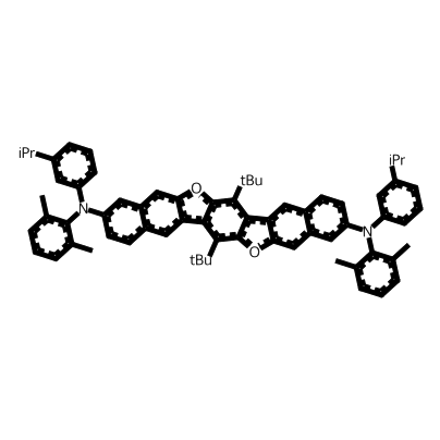 Cc1cccc(C)c1N(c1cccc(C(C)C)c1)c1ccc2cc3c(cc2c1)oc1c(C(C)(C)C)c2c(oc4cc5cc(N(c6cccc(C(C)C)c6)c6c(C)cccc6C)ccc5cc42)c(C(C)(C)C)c13